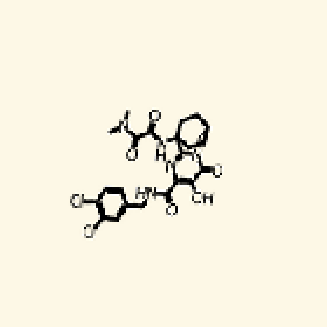 CN(C)C(=O)C(=O)NC12CCC(CC1)Cn1c2nc(C(=O)NCc2ccc(Cl)c(Cl)c2)c(O)c1=O